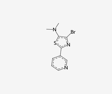 CN(C)c1sc(-c2cccnc2)nc1Br